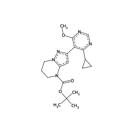 COc1ncnc(C2CC2)c1-c1cc2n(n1)CCCN2C(=O)OC(C)(C)C